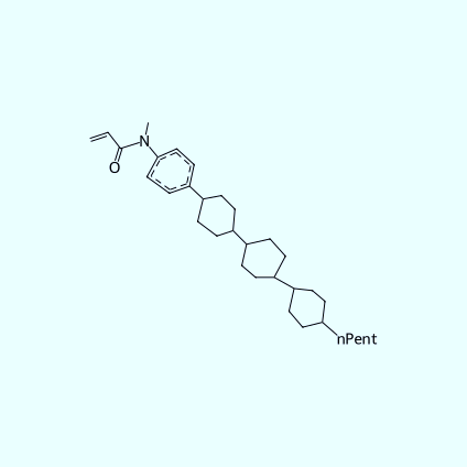 C=CC(=O)N(C)c1ccc(C2CCC(C3CCC(C4CCC(CCCCC)CC4)CC3)CC2)cc1